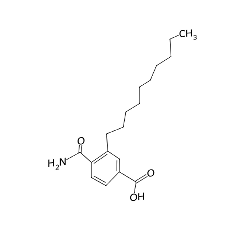 CCCCCCCCCCc1cc(C(=O)O)ccc1C(N)=O